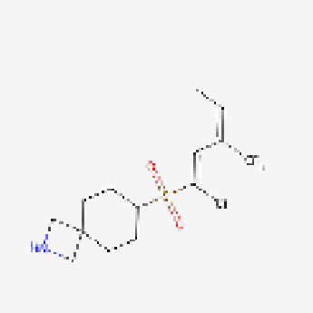 C/C=C(\C=C(/CC)S(=O)(=O)C1CCC2(CC1)CNC2)C(F)(F)F